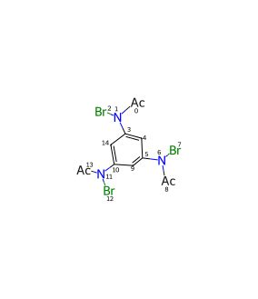 CC(=O)N(Br)c1cc(N(Br)C(C)=O)cc(N(Br)C(C)=O)c1